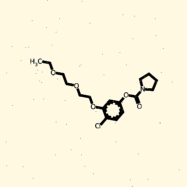 CCOCCOCCOc1cc(OC(=O)N2CCCC2)ccc1Cl